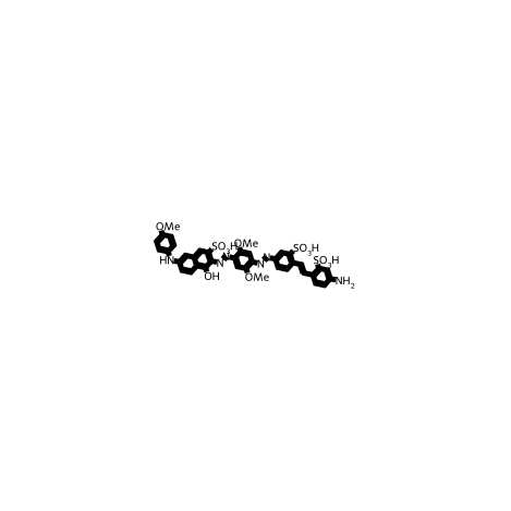 COc1ccc(Nc2ccc3c(O)c(N=Nc4cc(OC)c(N=Nc5ccc(C=Cc6ccc(N)cc6S(=O)(=O)O)c(S(=O)(=O)O)c5)cc4OC)c(S(=O)(=O)O)cc3c2)cc1